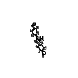 COc1ccc(CNc2ccc(C=O)cc2)cc1